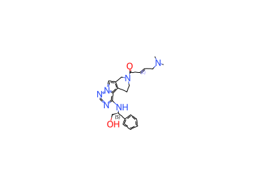 CN(C)C/C=C/C(=O)N1CCc2c(cn3ncnc(N[C@H](CO)c4ccccc4)c23)C1